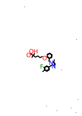 Cc1ccc(-c2ncc(C)n2Cc2ccccc2OCCCCC(C)(C)C(=O)O)cc1F